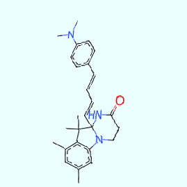 Cc1cc(C)c2c(c1)N1CCC(=O)NC1(C=CC=Cc1ccc(N(C)C)cc1)C2(C)C